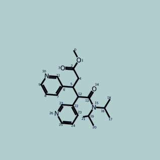 COC(=O)CC(c1cccnc1)C(C(=O)N(C(C)C)C(C)C)c1cccnc1